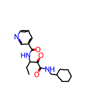 CCC(NC(=O)c1cccnc1)C(=O)C(=O)NCC1CCCCC1